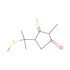 CSC(C)(C)C1CC(=O)C(C)C1=S